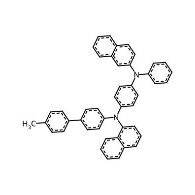 Cc1ccc(-c2ccc(N(c3ccc(N(c4ccccc4)c4ccc5ccccc5c4)cc3)c3cccc4ccccc34)cc2)cc1